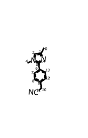 Cc1cn(C)c(-c2ccc(CC#N)cc2)n1